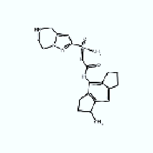 CC1CCc2c1cc1c(c2NC(=O)N=S(N)(=O)c2cc3n(n2)CCNC3)CCC1